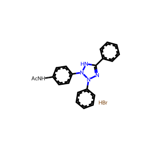 Br.CC(=O)Nc1ccc(N2NC(c3ccccc3)=NN2c2ccccc2)cc1